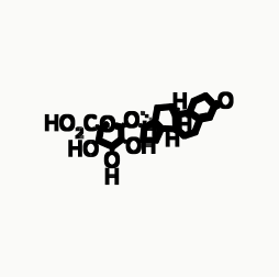 C[C@]12CC[C@H]3[C@@H](CCC4=CC(=O)CC[C@@H]43)[C@@H]1CC[C@@H]2O[C@@H]1O[C@H](C(=O)O)[C@@H](O)[C@H](O)[C@H]1O